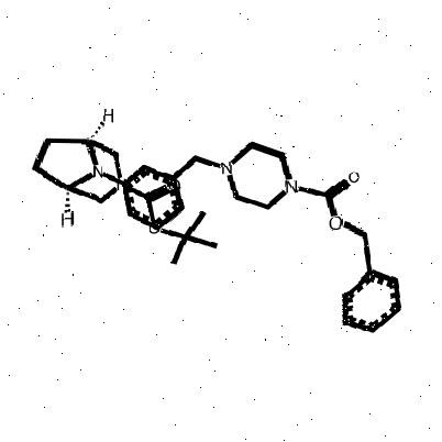 CC(C)(C)OC(=O)N1C[C@H]2CC[C@@H](C1)N2c1cccc(CN2CCN(C(=O)OCc3ccccc3)CC2)c1